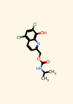 CC(C)NC(=O)OCc1ccc2c(Cl)cc(Cl)c(O)c2n1